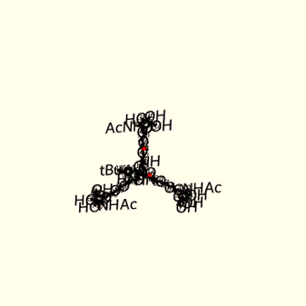 CC(=O)NC1C(OCCOCCOCCNC(=O)CN(CC(=O)NCCOCCOCCOC2OC(CO)C(O)C(O)C2NC(C)=O)C(Cc2ccc(CC(C)(C)C)cc2)C(=O)NCCOCCOCCOC2OC(CO)C(O)C(O)C2NC(C)=O)OC(CO)C(O)C1O